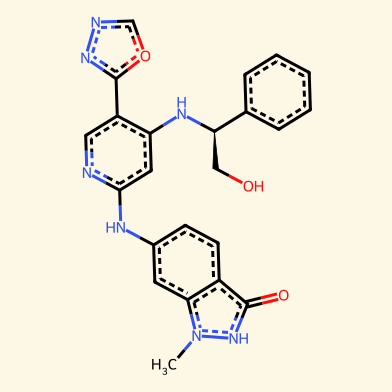 Cn1[nH]c(=O)c2ccc(Nc3cc(N[C@H](CO)c4ccccc4)c(-c4nnco4)cn3)cc21